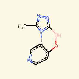 Cc1nnc2n1-c1cnccc1OB2